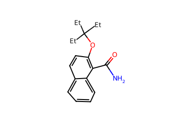 CCC(CC)(CC)Oc1ccc2ccccc2c1C(N)=O